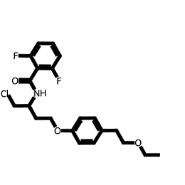 CCOCCc1ccc(OCCC(CCl)NC(=O)c2c(F)cccc2F)cc1